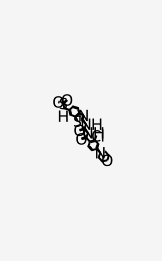 O=C(NC(=O)c1ccc(N2CCOCC2)cc1Cl)Nc1nc2ccc(C[SH](=O)=O)cc2s1